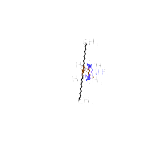 CCCCCCCCCCCCSSCCCCCCCCCCCC.CN(C)C(=S)SSC(=S)N(C)C.N